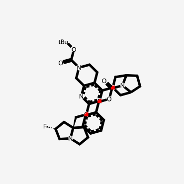 CC(C)(C)OC(=O)N1CCc2c(nc(OC[C@@]34CCCN3C[C@H](F)C4)nc2N2CC3CCC(C2)N3C(=O)OCc2ccccc2)C1